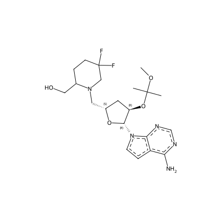 COC(C)(C)O[C@@H]1C[C@@H](CN2CC(F)(F)CCC2CO)O[C@H]1n1ccc2c(N)ncnc21